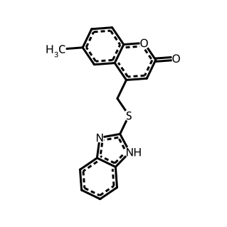 Cc1ccc2oc(=O)cc(CSc3nc4ccccc4[nH]3)c2c1